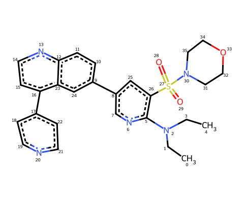 CCN(CC)c1ncc(-c2ccc3nccc(-c4ccncc4)c3c2)cc1S(=O)(=O)N1CCOCC1